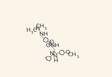 COc1ccc(-c2[nH]c(-c3ccccc3)nc2CCNS(=O)(=O)c2ccc(CNCCN(C)C)cc2)cc1